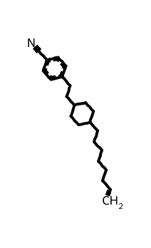 C=CCCCCCCC1CCC(CCc2ccc(C#N)cc2)CC1